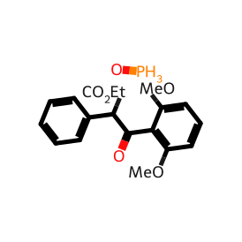 CCOC(=O)C(C(=O)c1c(OC)cccc1OC)c1ccccc1.O=[PH3]